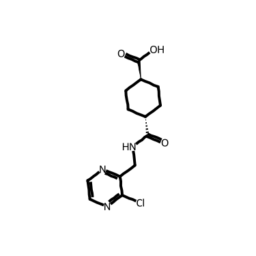 O=C(O)[C@H]1CC[C@H](C(=O)NCc2nccnc2Cl)CC1